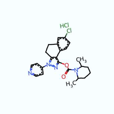 CC1CCCC(C)N1C(=O)Oc1nn(-c2ccncc2)c2c1-c1ccc(Cl)cc1CC2.Cl